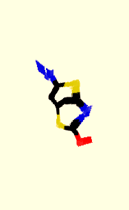 Nc1cc2sc(O)nc2s1